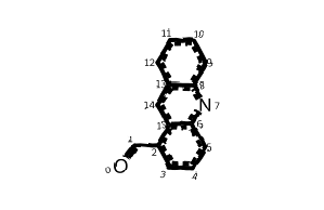 O=Cc1cccc2nc3ccccc3cc12